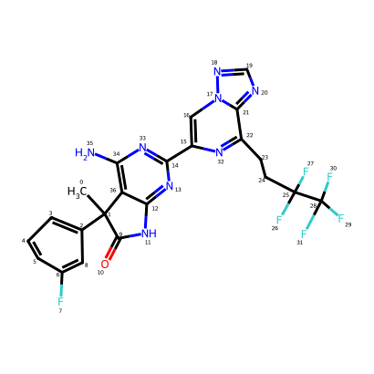 CC1(c2cccc(F)c2)C(=O)Nc2nc(-c3cn4ncnc4c(CCC(F)(F)C(F)(F)F)n3)nc(N)c21